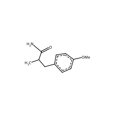 COc1ccc(CC(C)C(N)=O)cc1